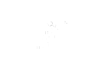 C[C@]12CC[C@H](O)C[C@@H]1CC[C@@H]1[C@@H]2CC[C@]2(C)[C@@](OCCN3CCCC3)(c3ccoc3)CC[C@]12O